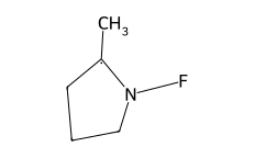 C[C]1CCCN1F